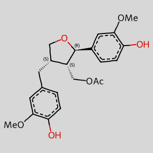 COc1cc(C[C@@H]2CO[C@@H](c3ccc(O)c(OC)c3)[C@@H]2COC(C)=O)ccc1O